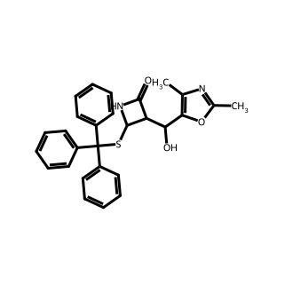 Cc1nc(C)c(C(O)C2C(=O)NC2SC(c2ccccc2)(c2ccccc2)c2ccccc2)o1